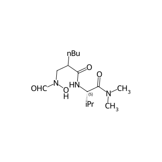 CCCCC(CN(O)C=O)C(=O)N[C@H](C(=O)N(C)C)C(C)C